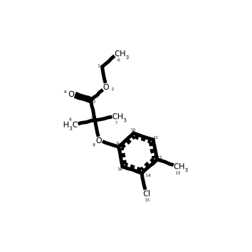 CCOC(=O)C(C)(C)Oc1ccc(C)c(Cl)c1